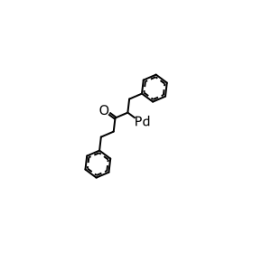 O=C(CCc1ccccc1)[CH]([Pd])Cc1ccccc1